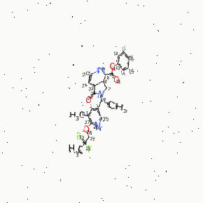 Cc1cc(C(C)N2CC3C(C(=O)Oc4ccccc4)=NC=CC3C2=O)cnc1OCC(C)(F)F